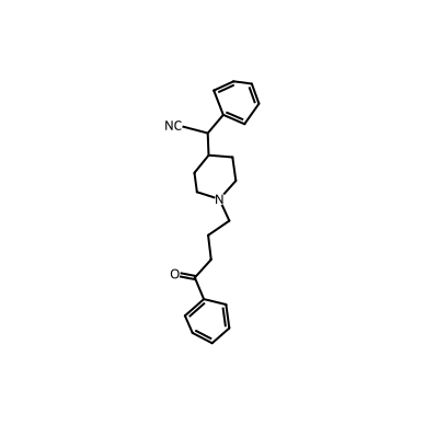 N#CC(c1ccccc1)C1CCN(CCCC(=O)c2ccccc2)CC1